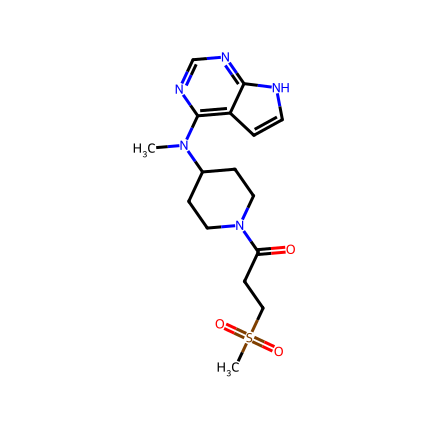 CN(c1ncnc2[nH]ccc12)C1CCN(C(=O)CCS(C)(=O)=O)CC1